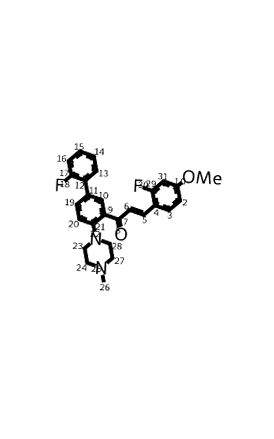 COc1ccc(C=CC(=O)c2cc(-c3ccccc3F)ccc2N2CCN(C)CC2)c(F)c1